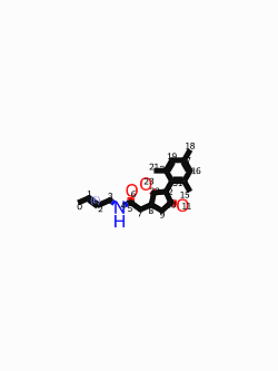 C/C=C/CNC(=O)CC1CC(=O)C(c2c(C)cc(C)cc2C)C1=O